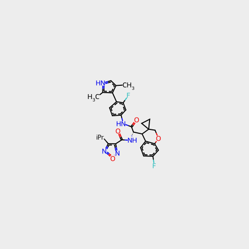 Cc1c[nH]c(C)c1-c1ccc(NC(=O)[C@@H](NC(=O)c2nonc2C(C)C)C2c3ccc(F)cc3OCC23CC3)cc1F